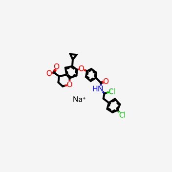 O=C(NC(Cl)Cc1ccc(Cl)cc1)c1ccc(Oc2cc3c(cc2C2CC2)C(C(=O)[O-])CCO3)cc1.[Na+]